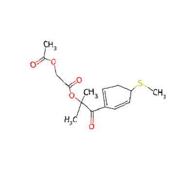 CSC1C=CC(C(=O)C(C)(C)OC(=O)COC(C)=O)=CC1